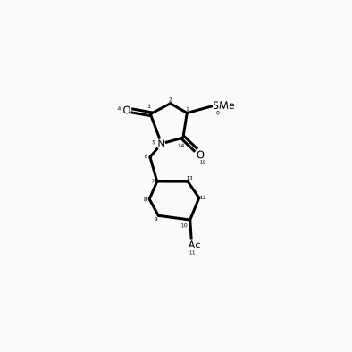 CSC1CC(=O)N(CC2CCC(C(C)=O)CC2)C1=O